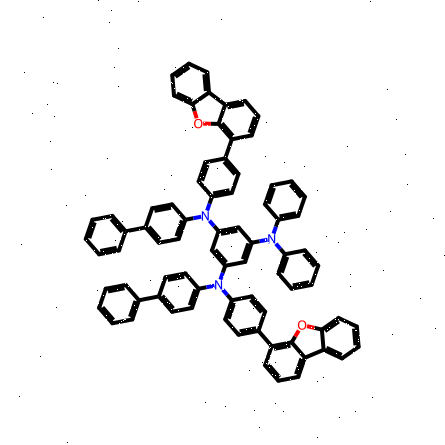 c1ccc(-c2ccc(N(c3ccc(-c4cccc5c4oc4ccccc45)cc3)c3cc(N(c4ccccc4)c4ccccc4)cc(N(c4ccc(-c5ccccc5)cc4)c4ccc(-c5cccc6c5oc5ccccc56)cc4)c3)cc2)cc1